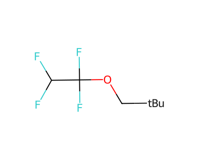 CC(C)(C)COC(F)(F)C(F)F